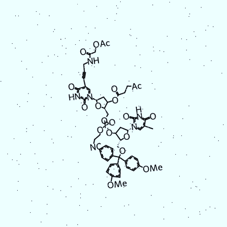 [C-]#[N+]CCOP(=O)(OC[C@H]1O[C@@H](n2cc(C#CCNC(=O)COC(C)=O)c(=O)[nH]c2=O)CC1OC(=O)CCC(C)=O)OC1C[C@H](n2cc(C)c(=O)[nH]c2=O)O[C@@H]1COC(c1ccccc1)(c1ccc(OC)cc1)c1ccc(OC)cc1